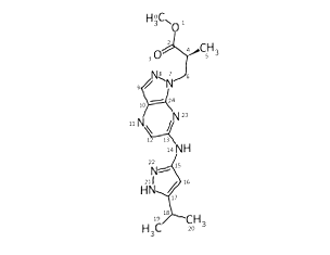 COC(=O)[C@@H](C)Cn1ncc2ncc(Nc3cc(C(C)C)[nH]n3)nc21